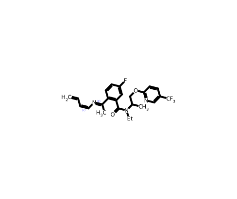 C=C/C=C\N=C(/C)c1ccc(F)cc1C(=O)N(CC)C(C)COc1ccc(C(F)(F)F)cn1